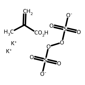 C=C(C)C(=O)O.O=S(=O)([O-])OOS(=O)(=O)[O-].[K+].[K+]